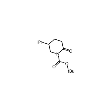 CC(C)C1CCC(=O)N(C(=O)OC(C)(C)C)C1